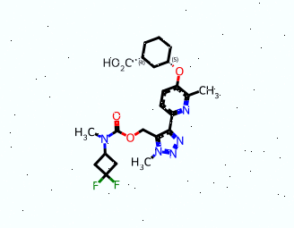 Cc1nc(-c2nnn(C)c2COC(=O)N(C)C2CC(F)(F)C2)ccc1O[C@H]1CCC[C@@H](C(=O)O)C1